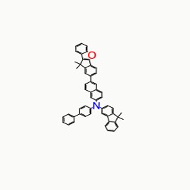 CC1(C)c2ccccc2-c2cc(N(c3ccc(-c4ccccc4)cc3)c3ccc4cc(-c5ccc6c(c5)C(C)(C)c5c-6oc6ccccc56)ccc4c3)ccc21